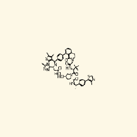 Cc1ncsc1-c1ccc([C@H](C)NC(=O)[C@@H]2C[C@@H](O)CN2C(=O)[C@@H](NC(=O)CN2CCc3cccc(-c4ccc(C5=N[C@@H](CC(=O)O)c6nnc(C)n6-c6sc(C)c(C)c65)cc4)c3C2=O)C(C)(C)C)cc1